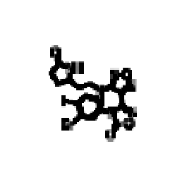 O=C1CCC(CCNc2nonc2-c2noc(=O)n2-c2ccc(F)c(Br)c2)N1